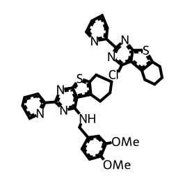 COc1ccc(CNc2nc(-c3ccccn3)nc3sc4c(c23)CCCC4)cc1OC.Clc1nc(-c2ccccn2)nc2sc3c(c12)CCCC3